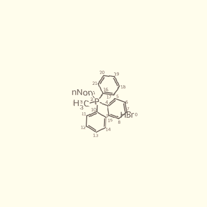 Br.CCCCCCCCCP(C)(c1ccccc1)(c1ccccc1)c1ccccc1